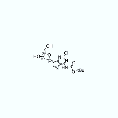 CC(C)(C)OC(=O)Nc1nc(Cl)nc2c1ncn2[C@H]1C[C@@H](O)[C@@H](CO)O1